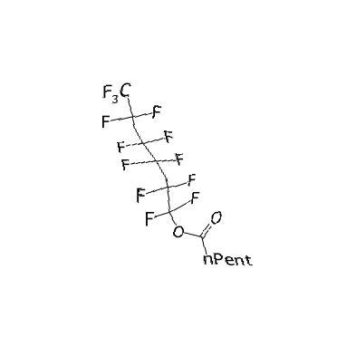 CCCCCC(=O)OC(F)(F)C(F)(F)C(F)(F)C(F)(F)C(F)(F)C(F)(F)F